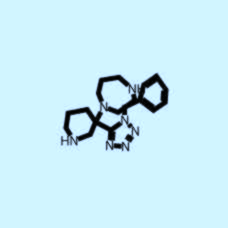 c1ccc(Cn2nnnc2C2(N3CCCNCC3)CCCNC2)cc1